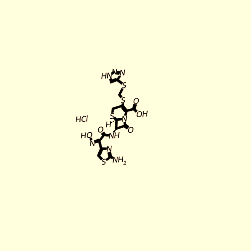 Cl.Nc1nc(/C(=N/O)C(=O)N[C@@H]2C(=O)N3C(C(=O)O)=C(SCSc4c[nH]nn4)CS[C@H]23)cs1